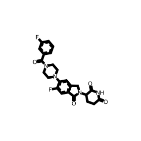 O=C1CCC(N2Cc3cc(N4CCN(C(=O)c5cccc(F)c5)CC4)c(F)cc3C2=O)C(=O)N1